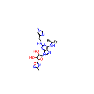 CCC(CC)Nc1nc(NCCc2cn(C)cn2)nc2c1ncn2[C@@H]1O[C@H](c2nc(C)no2)[C@@H](O)[C@H]1O